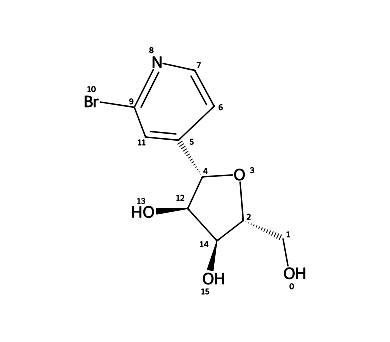 OC[C@H]1O[C@@H](c2ccnc(Br)c2)[C@H](O)[C@@H]1O